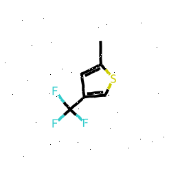 Cc1cc(C(F)(F)F)[c]s1